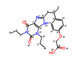 CCCn1c(=O)c2nc(CC(C)c3ccc(OCC(=O)O)cc3)[nH]c2n(CCC)c1=O